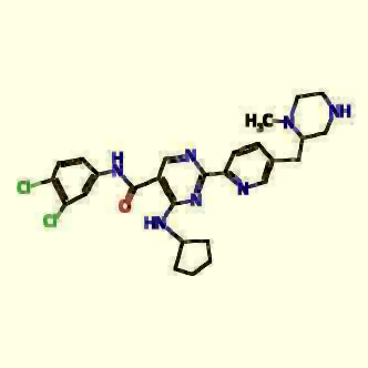 CN1CCNCC1Cc1ccc(-c2ncc(C(=O)Nc3ccc(Cl)c(Cl)c3)c(NC3CCCC3)n2)nc1